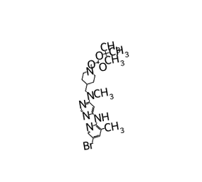 Cc1cc(Br)cnc1Nc1cc(N(C)CC2CCN(OC(=O)OC(C)(C)C)CC2)ncn1